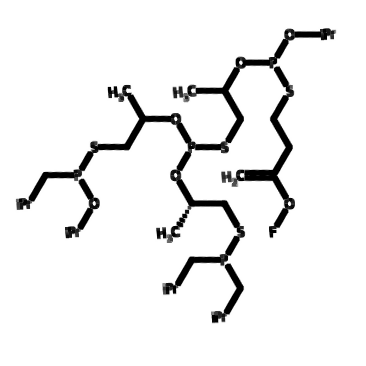 C=C(CCSP(OC(C)C)OC(C)CSP(OC(C)CSP(CC(C)C)OC(C)C)O[C@@H](C)CSP(CC(C)C)CC(C)C)OF